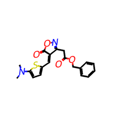 CN(C)c1ccc(C=C2C(=O)ON=C2CC(=O)OCc2ccccc2)s1